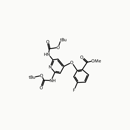 COC(=O)c1ccc(F)cc1Oc1cc(NC(=O)OC(C)(C)C)nc(NC(=O)OC(C)(C)C)c1